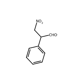 O=[C]C(C[N+](=O)[O-])c1ccccc1